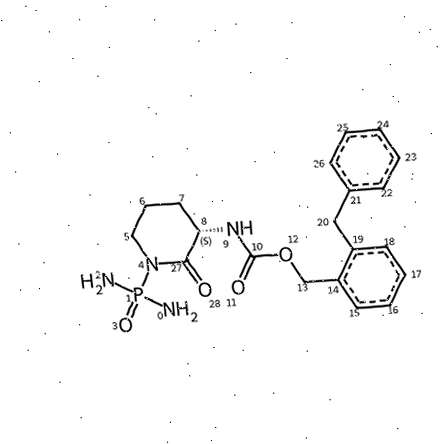 NP(N)(=O)N1CCC[C@H](NC(=O)OCc2ccccc2Cc2ccccc2)C1=O